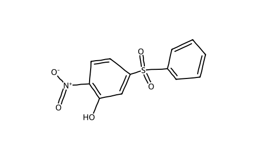 O=[N+]([O-])c1ccc(S(=O)(=O)c2ccccc2)cc1O